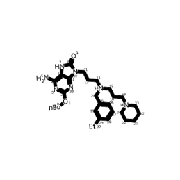 CCCCOc1nc(N)c2[nH]c(=O)n(CCCN(CCCN3CCCCC3)Cc3cccc(CC)c3)c2n1